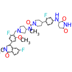 COc1cc(-c2cn(C)c(=O)c3ccc(F)cc23)cc(F)c1CN1CCC(N(C)C(=O)N2CCC(c3ccc(NC4CCC(=O)NC4=O)cc3F)CC2)CC1